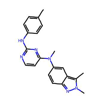 Cc1ccc(Nc2nccc(N(C)c3ccc4nn(C)c(C)c4c3)n2)cc1